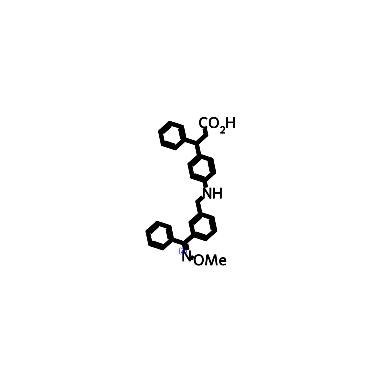 CO/N=C(/c1ccccc1)c1cccc(CNc2ccc(C(CC(=O)O)c3ccccc3)cc2)c1